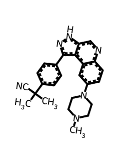 CN1CCN(c2ccc3ncc4[nH]nc(-c5ccc(C(C)(C)C#N)cc5)c4c3c2)CC1